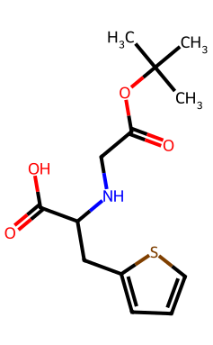 CC(C)(C)OC(=O)CNC(Cc1cccs1)C(=O)O